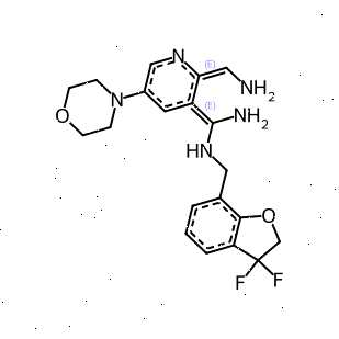 N/C=c1/ncc(N2CCOCC2)c/c1=C(/N)NCc1cccc2c1OCC2(F)F